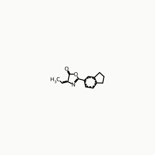 C/C=C1/N=C(c2ccc3c(c2)CCC3)OC1=O